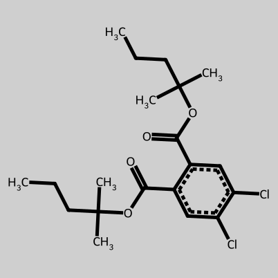 CCCC(C)(C)OC(=O)c1cc(Cl)c(Cl)cc1C(=O)OC(C)(C)CCC